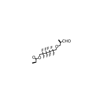 C=CC(=O)OCC(F)(F)C(F)(F)C(F)(F)C(F)(F)COCC(=C)C=O